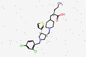 CCC[C@H](CC1CCN(C[C@H]2CN(Cc3ccc(Cl)cc3Cl)C[C@@H]2c2ccsc2)CC1)C(=O)O